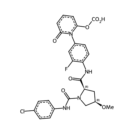 CO[C@@H]1C[C@H](C(=O)Nc2ccc(-n3c(OC(=O)O)cccc3=O)cc2F)N(C(=O)Nc2ccc(Cl)cc2)C1